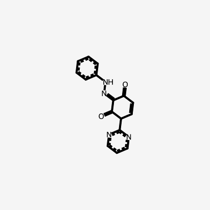 O=C1C=CC(c2ncccn2)C(=O)C1=NNc1ccccc1